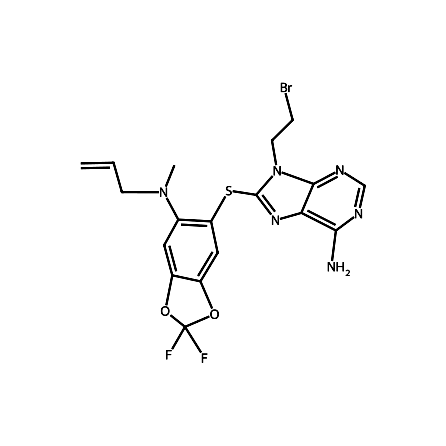 C=CCN(C)c1cc2c(cc1Sc1nc3c(N)ncnc3n1CCBr)OC(F)(F)O2